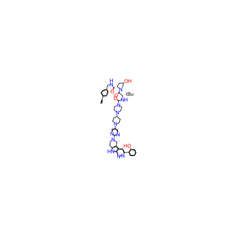 C#Cc1ccc([C@H](C)NC(=O)[C@@H]2C[C@@H](O)CN2C(=O)[C@@H](NC(=O)N2CCN(C3CCN(c4cnc(N5CCc6[nH]c7nnc(-c8ccccc8O)cc7c6[C@H]5C)nc4)CC3)CC2)C(C)(C)C)cc1